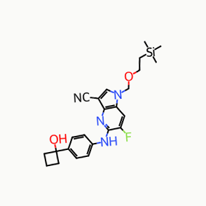 C[Si](C)(C)CCOCn1cc(C#N)c2nc(Nc3ccc(C4(O)CCC4)cc3)c(F)cc21